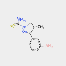 Bc1cccc(C2=NN(C(N)=S)CC2C)c1